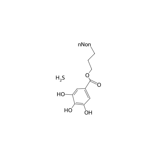 CCCCCCCCCCCCOC(=O)c1cc(O)c(O)c(O)c1.S